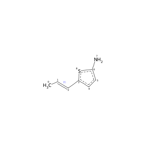 C/C=C/c1ccc(N)s1